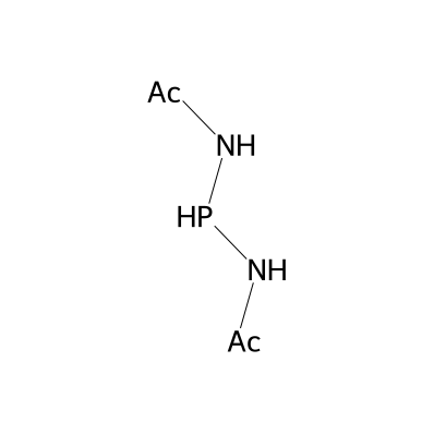 CC(=O)NPNC(C)=O